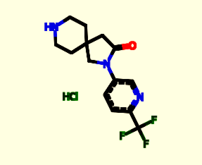 Cl.O=C1CC2(CCNCC2)CN1c1ccc(C(F)(F)F)nc1